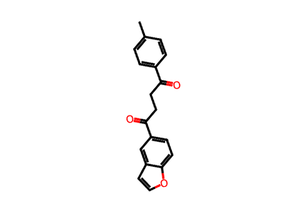 Cc1ccc(C(=O)CCC(=O)c2ccc3occc3c2)cc1